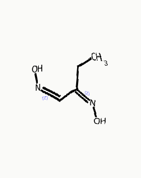 CCC(/C=N\O)=N/O